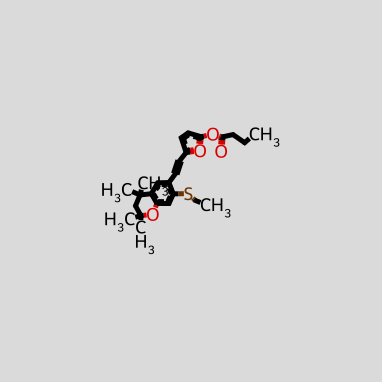 CCCC(=O)Oc1ccc(C#Cc2cc3c(cc2SCC)OC(C)(C)CC3(C)C)o1